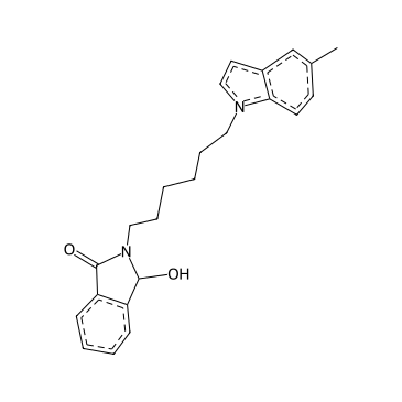 Cc1ccc2c(ccn2CCCCCCN2C(=O)c3ccccc3C2O)c1